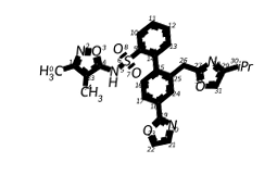 Cc1noc(NS(=O)(=O)c2ccccc2-c2ccc(-c3ncco3)cc2Cc2nc(C(C)C)co2)c1C